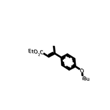 CCOC(=O)C=C(C)c1ccc(OC(C)CC)cc1